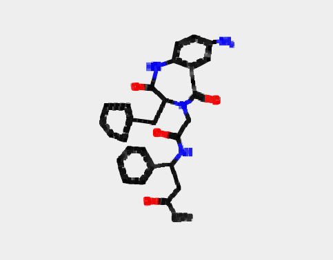 COC(=O)CC(NC(=O)CN1C(=O)c2cc(N)ccc2NC(=O)C1Cc1ccccc1)c1ccccc1